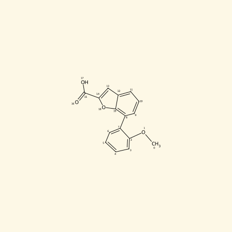 COc1ccccc1-c1cccc2cc(C(=O)O)oc12